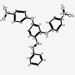 O=[N+]([O-])c1ccc(Oc2ccc(N=Nc3ccccc3)c(Oc3ccc([N+](=O)[O-])cc3)c2)cc1